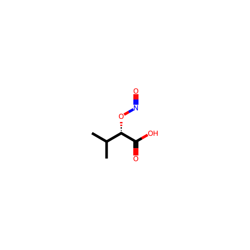 CC(C)[C@H](ON=O)C(=O)O